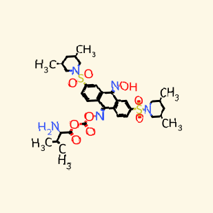 CC(C)[C@H](N)C(=O)OC(=O)ON=C1c2ccc(S(=O)(=O)N3C[C@H](C)C[C@H](C)C3)cc2C(=NO)c2cc(S(=O)(=O)N3C[C@H](C)C[C@H](C)C3)ccc21